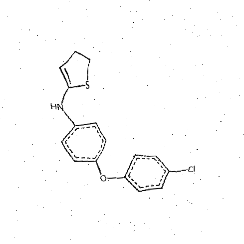 Clc1ccc(Oc2ccc(NC3=CCCS3)cc2)cc1